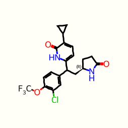 O=C1CC[C@H](CC(c2ccc(OC(F)(F)F)c(Cl)c2)c2ccc(C3CC3)c(=O)[nH]2)N1